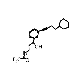 O=C(NCCC(O)c1cccc(C#CCCC2CCCCC2)c1)C(F)(F)F